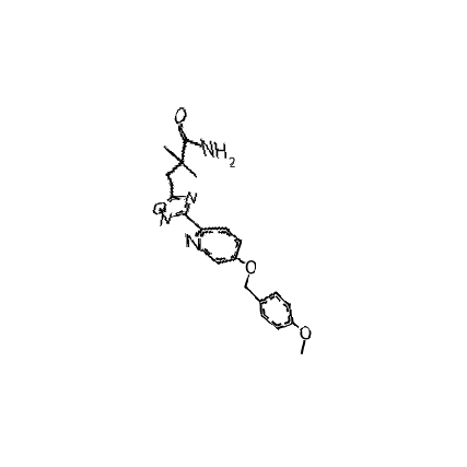 COc1ccc(COc2ccc(-c3noc(CC(C)(C)C(N)=O)n3)nc2)cc1